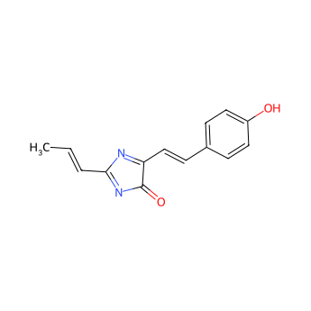 CC=CC1=NC(=O)C(C=Cc2ccc(O)cc2)=N1